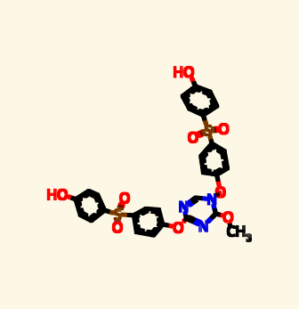 COC1N=C(Oc2ccc(S(=O)(=O)c3ccc(O)cc3)cc2)N=CN1Oc1ccc(S(=O)(=O)c2ccc(O)cc2)cc1